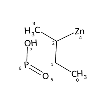 CC[CH](C)[Zn].O=PO